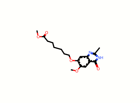 COC(=O)CCCCCCOc1cc2nc(C)[nH]c(=O)c2cc1OC